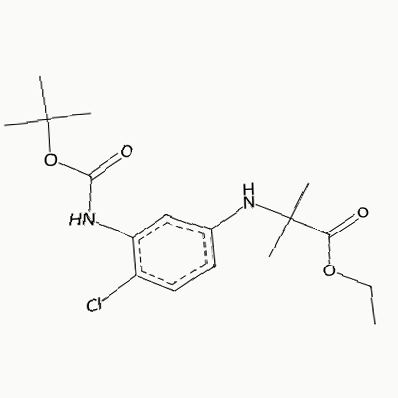 CCOC(=O)C(C)(C)Nc1ccc(Cl)c(NC(=O)OC(C)(C)C)c1